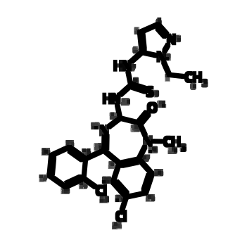 CCn1nccc1NC(=S)NC1N=C(c2ccccc2Cl)c2cc(Cl)ccc2N(C)C1=O